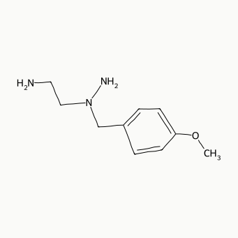 COc1ccc(CN(N)CCN)cc1